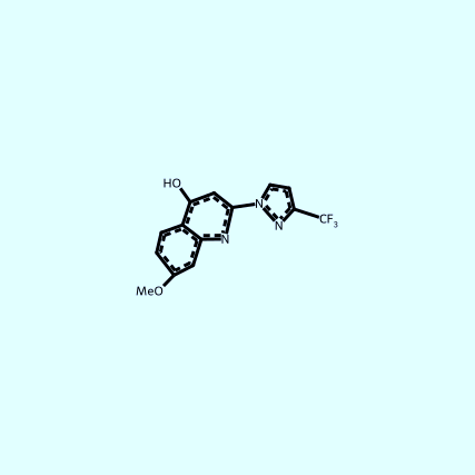 COc1ccc2c(O)cc(-n3ccc(C(F)(F)F)n3)nc2c1